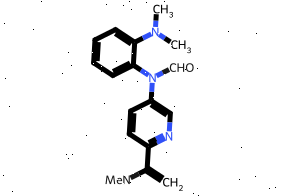 C=C(NC)c1ccc(N(C=O)c2ccccc2N(C)C)cn1